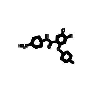 Cc1ccc(Oc2cc(Cl)c(Cl)cc2C(=O)Nc2ccc(C(=O)O)cc2)cc1